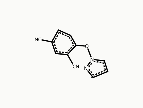 N#Cc1ccc(On2cc[c]n2)c(C#N)c1